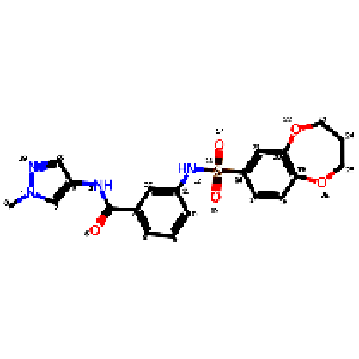 Cn1cc(NC(=O)c2cccc(NS(=O)(=O)c3ccc4c(c3)OCCCO4)c2)cn1